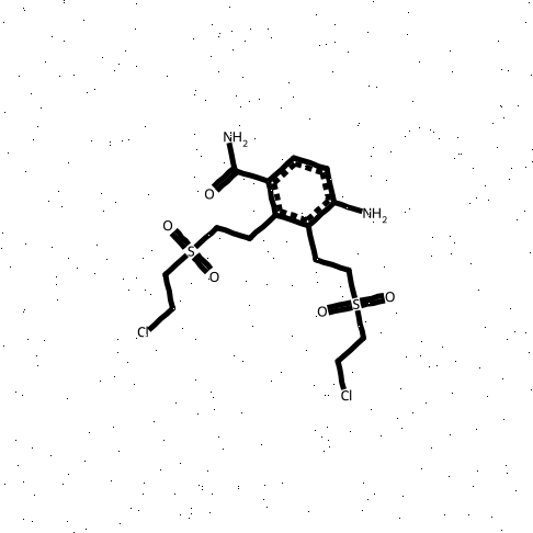 NC(=O)c1ccc(N)c(CCS(=O)(=O)CCCl)c1CCS(=O)(=O)CCCl